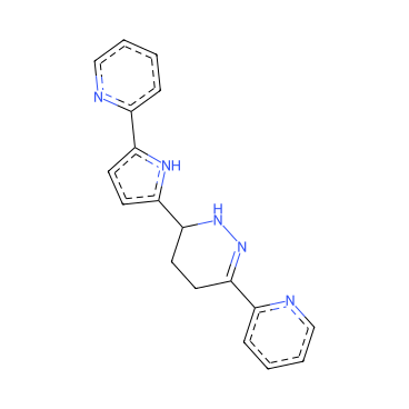 c1ccc(C2=NNC(c3ccc(-c4ccccn4)[nH]3)CC2)nc1